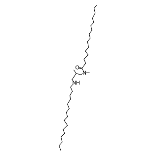 CCCCCCCCCCCCCCCCNCC(C)CN(C)C(=O)CCCCCCCCCCCCCCC